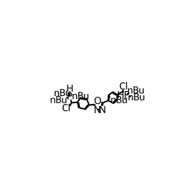 CCCC[PH](CCCC)(CCCC)C(Cl)c1ccc(-c2nnc(-c3ccc(C(Cl)[PH](CCCC)(CCCC)CCCC)cc3)o2)cc1